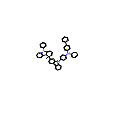 CC1(c2ccc3c4ccccc4n(-c4ccc(N(C5=CC=CCC5)c5ccc(-c6ccccc6)cc5)cc4)c3c2)C=CC=C2C1c1ccccc1N2c1ccccc1